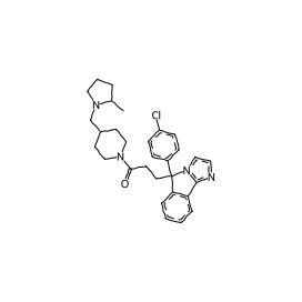 CC1CCCN1CC1CCN(C(=O)CCC2(c3ccc(Cl)cc3)c3ccccc3-c3nccn32)CC1